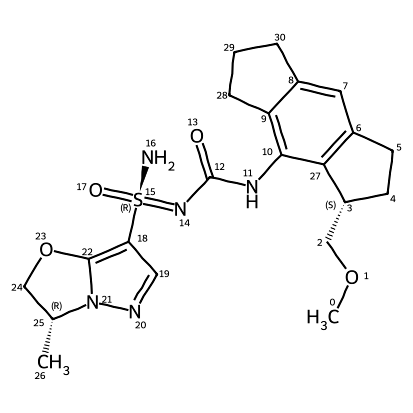 COC[C@H]1CCc2cc3c(c(NC(=O)N=[S@@](N)(=O)c4cnn5c4OC[C@H]5C)c21)CCC3